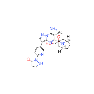 CC(=O)c1c([C@@H]2C[C@H]3CC[C@@H](C2)N3C(=O)CO)nc2c(-c3ccc(N4NCCC4=O)nc3)cnn2c1N